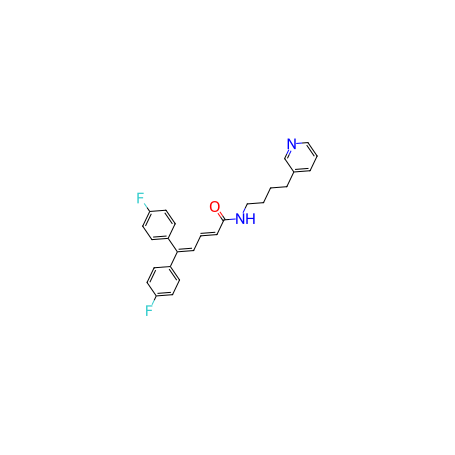 O=C(C=CC=C(c1ccc(F)cc1)c1ccc(F)cc1)NCCCCc1cccnc1